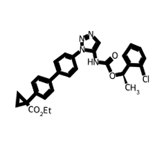 CCOC(=O)C1(c2ccc(-c3ccc(-n4nncc4NC(=O)O[C@H](C)c4ccccc4Cl)cc3)cc2)CC1